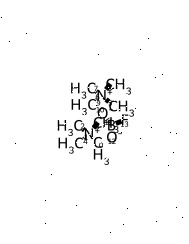 C[N+](C)(C)C.C[N+](C)(C)C.[O-]B([O-])F